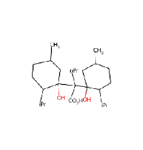 CCCC(C(=O)O)(C1(O)CC(C)CCC1C(C)C)C1(O)CC(C)CCC1C(C)C